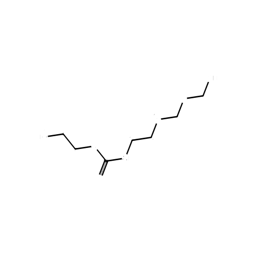 CCSCSCCNC(=O)SCCO